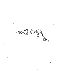 C=CCCN1CCN(c2ccc(-c3ncc(C#N)cn3)cc2)C1=O